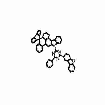 c1ccc(-c2nc(-c3ccc4oc5ccccc5c4c3)nc(-n3c4ccccc4c4c5cccc6c5c(cc43)-c3ccccc3C63c4ccccc4-c4ccccc43)n2)cc1